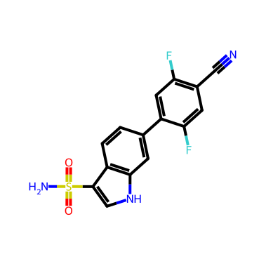 N#Cc1cc(F)c(-c2ccc3c(S(N)(=O)=O)c[nH]c3c2)cc1F